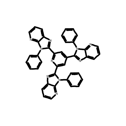 c1ccc(-n2c(-c3cc(-c4nc5cccnc5n4-c4ccccc4)nc(-c4nc5cccnc5n4-c4ccccc4)c3)nc3cccnc32)cc1